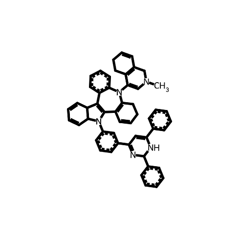 CN1C=C(N2C3=C(C=CCC3)C3=C(c4ccccc42)C2C=CC=CC2N3c2cccc(C3=NC(c4ccccc4)NC(c4ccccc4)=C3)c2)C2=C(C=CCC2)C1